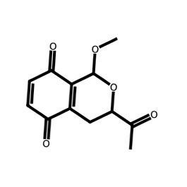 COC1OC(C(C)=O)CC2=C1C(=O)C=CC2=O